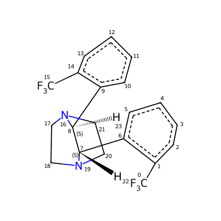 FC(F)(F)c1ccccc1[C@H]1[C@H](c2ccccc2C(F)(F)F)N2CCN1CC2